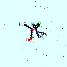 CCCCCCCC/C=C\CCCCCCCC(=O)O.CCCCN(CCCC)CCC(O)c1cc2c(Cl)cc(Cl)cc2c2cc(C(F)(F)F)ccc12